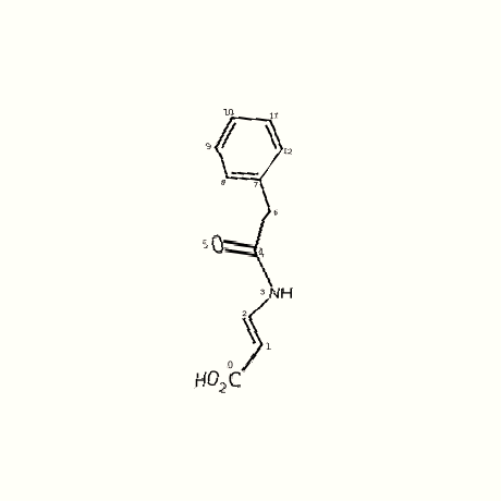 O=C(O)/C=C/NC(=O)Cc1ccccc1